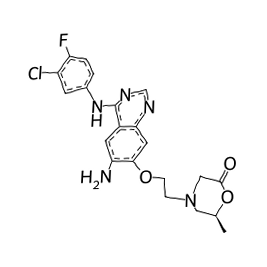 C[C@H]1CN(CCOc2cc3ncnc(Nc4ccc(F)c(Cl)c4)c3cc2N)CC(=O)O1